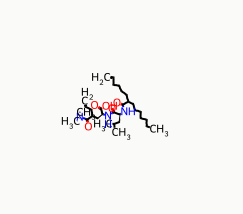 C=CCCCCC(CCCCCCC)C(=O)N[C@@H](CC(C)C)C(=O)N[C@@H](CC(CC=C)C(=O)N(C)C)C(=O)O